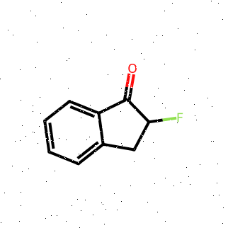 O=C1c2ccccc2CC1F